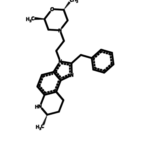 C[C@@H]1CN(CCn2c(Cc3ccccc3)nc3c4c(ccc32)N[C@@H](C)CC4)C[C@@H](C)O1